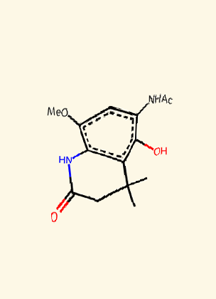 COc1cc(NC(C)=O)c(O)c2c1NC(=O)CC2(C)C